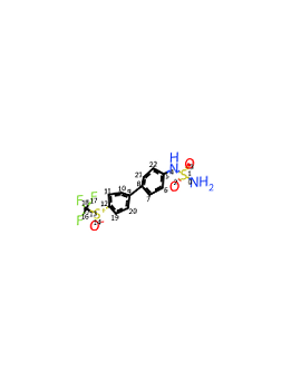 NS(=O)(=O)Nc1ccc(-c2ccc([S+]([O-])C(F)(F)F)cc2)cc1